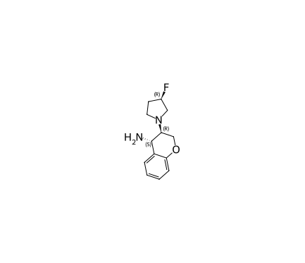 N[C@H]1c2ccccc2OC[C@@H]1N1CC[C@@H](F)C1